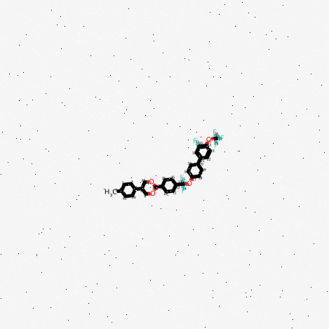 CC1CCC(C2COC(C3CCC(C(F)(F)OC4CCC(c5ccc(OC(F)(F)F)c(F)c5)CC4)CC3)OC2)CC1